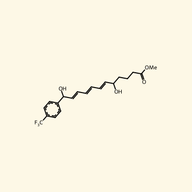 COC(=O)CCCC(O)C=CC=CC=CC(O)c1ccc(C(F)(F)F)cc1